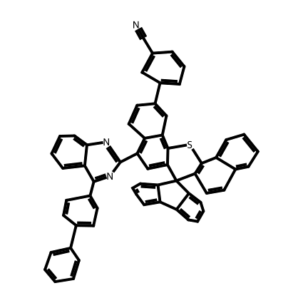 N#Cc1cccc(-c2ccc3c(-c4nc(-c5ccc(-c6ccccc6)cc5)c5ccccc5n4)cc4c(c3c2)Sc2c(ccc3ccccc23)C42c3ccccc3-c3ccccc32)c1